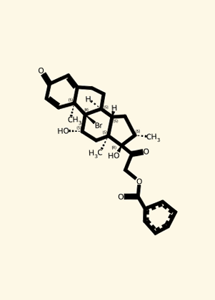 C[C@H]1C[C@H]2[C@@H]3CCC4=CC(=O)C=C[C@]4(C)[C@@]3(Br)[C@@H](O)C[C@]2(C)[C@@]1(O)C(=O)COC(=O)c1ccccc1